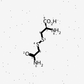 NC(=O)CSSC[C@H](N)C(=O)O